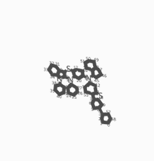 c1ccc(-c2ccc3c(c2)sc2cc(N(c4ccc5c(c4)N(c4ccccc4)c4c(c6ccccc6n4-c4ccccc4)S5)c4cccc5ccccc45)ccc23)cc1